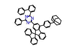 c1ccc(-c2nc(-c3cc(-c4ccc(C56CC7CC(CC(C7)C5)C6)cc4)c4c(c3)C3(c5ccccc5-c5ccccc53)c3ccccc3-4)nc(-c3ccccc3-c3ccccc3)n2)cc1